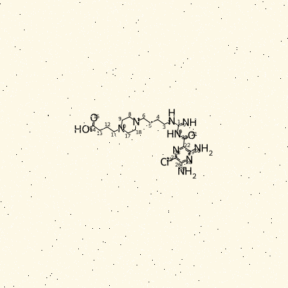 N=C(NCCCCN1CCN(CCCC(=O)O)CC1)NC(=O)c1nc(Cl)c(N)nc1N